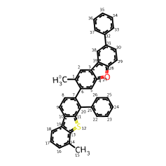 Cc1cc2c(cc1-c1ccc3c(sc4c(C)cccc43)c1-c1ccccc1)oc1ccc(-c3ccccc3)cc12